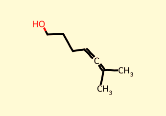 CC(C)=C=CCCCO